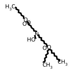 CCCCCCCCCOC(=O)OCCCCCCN(CCO)CCCCCCCC(=O)OC(CCCCCCCC)CCCCCCCC